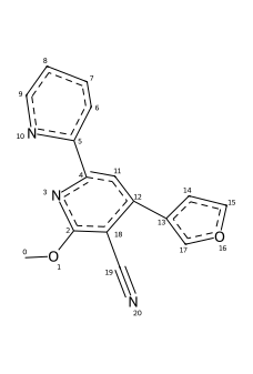 COc1nc(-c2ccccn2)cc(-c2ccoc2)c1C#N